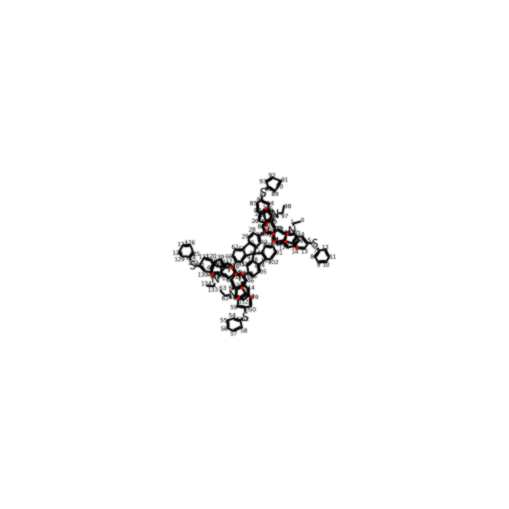 CCn1c2cc(Sc3ccccc3)ccc2c2ccc(N(c3ccccc3)c3ccc4c(c3)C3(c5cc(N(c6ccccc6)c6ccc7c8ccc(Sc9ccccc9)cc8n(CC)c7c6)ccc5-4)c4cc(N(c5ccccc5)c5ccc6c7ccc(Sc8ccccc8)cc7n(CC)c6c5)ccc4-c4ccc(N(c5ccccc5)c5ccc6c7ccc(Sc8ccccc8)cc7n(CC)c6c5)cc43)cc21